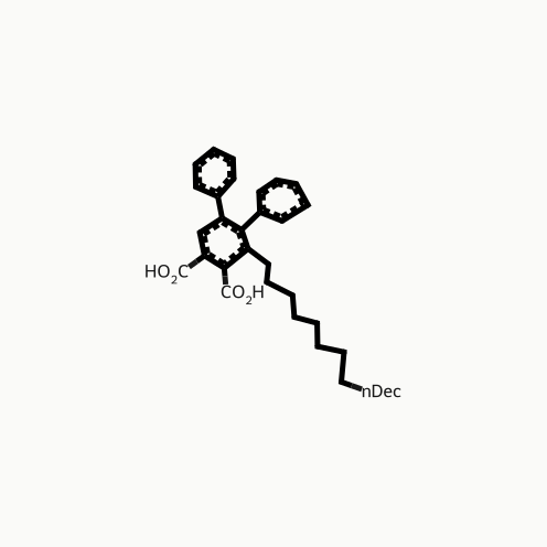 CCCCCCCCCCCCCCCCCCc1c(C(=O)O)c(C(=O)O)cc(-c2ccccc2)c1-c1ccccc1